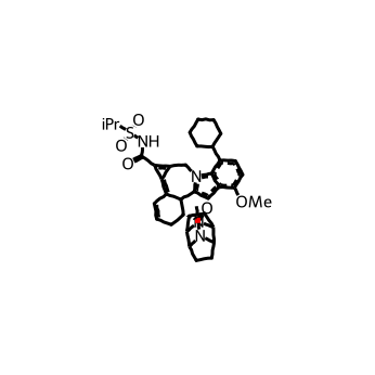 COc1ccc(C2CCCCC2)c2c1cc1n2CC2=C(C(=O)NS(=O)(=O)C(C)C)C2=C2C=CC[C@@H](C(=O)N3C4CCC3C3CCC4N3C)C21